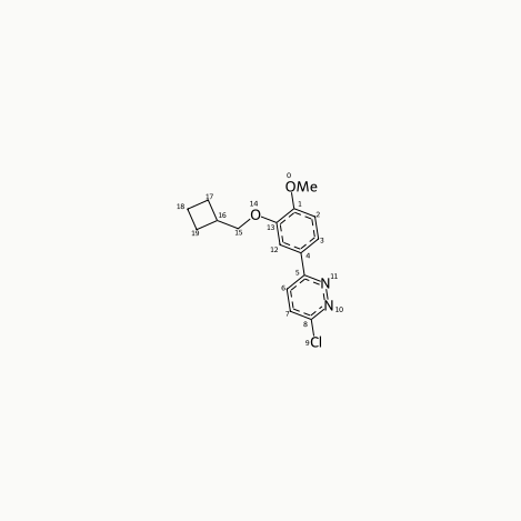 COc1ccc(-c2ccc(Cl)nn2)cc1OCC1CCC1